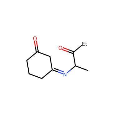 CCC(=O)C(C)/N=C1/CCCC(=O)C1